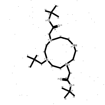 CC(C)(C)CN1CCN(CC(=O)OC(C)(C)C)CCNCCN(CC(=O)OC(C)(C)C)CC1